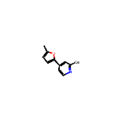 Cc1ccc(-c2ccnc(C#N)c2)o1